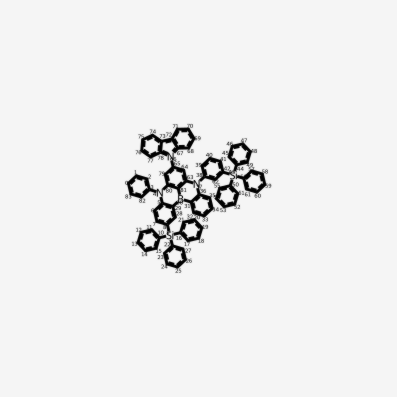 c1ccc(N2c3ccc([Si](c4ccccc4)(c4ccccc4)c4ccccc4)cc3B3c4ccccc4N(c4cccc([Si](c5ccccc5)(c5ccccc5)c5ccccc5)c4)c4cc(-n5c6ccccc6c6ccccc65)cc2c43)cc1